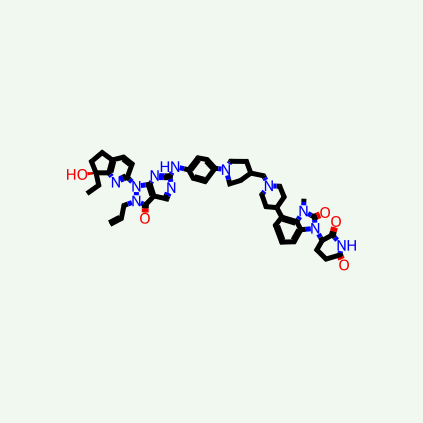 C=CCn1c(=O)c2cnc(Nc3ccc(N4CCC(CN5CCC(c6cccc7c6n(C)c(=O)n7C6CCC(=O)NC6=O)CC5)CC4)cc3)nc2n1-c1ccc2c(n1)[C@](O)(CC)CC2